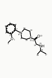 COc1ccccc1N1CCN(C(=O)CNC(C)C)CC1